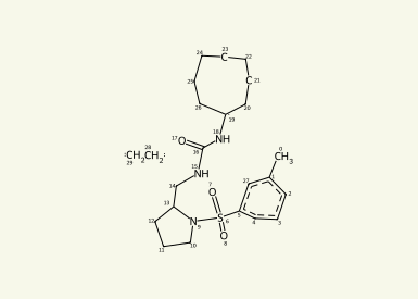 Cc1cccc(S(=O)(=O)N2CCCC2CNC(=O)N[C]2CCCCCCC2)c1.[CH2].[CH2]